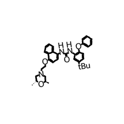 C[C@@H]1CN(CCOc2ccc(NC(=O)Nc3cc(C(C)(C)C)ccc3Oc3ccccc3)c3ccccc23)C[C@@H](C)O1